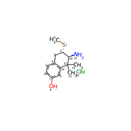 CS[C@H]1Cc2ccc(O)cc2C(C)(C)[C@@H]1N.Cl